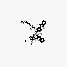 CC(C)C1(C)N=C(c2nc3ccccc3cc2C(=O)O)NC1=O.CCCCCOC(=O)COc1cc(N2C(=O)C3=C(CCCC3)C2=O)c(F)cc1Cl